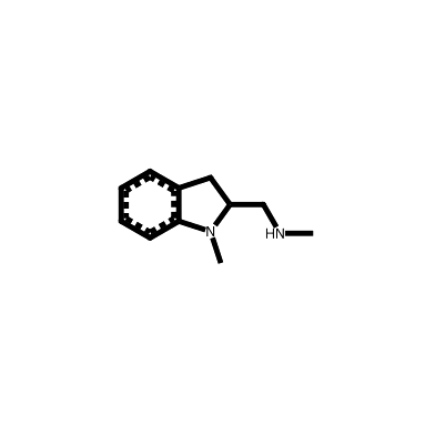 CNCC1Cc2ccccc2N1C